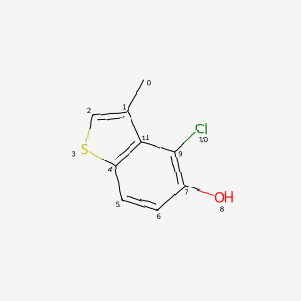 Cc1csc2ccc(O)c(Cl)c12